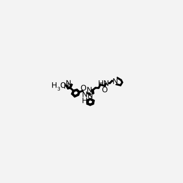 Cn1cc(-c2cccc(C(=O)Nc3nc(CCCC(=O)NCCN4CCCCC4)cn3-c3ccccc3)c2)cn1